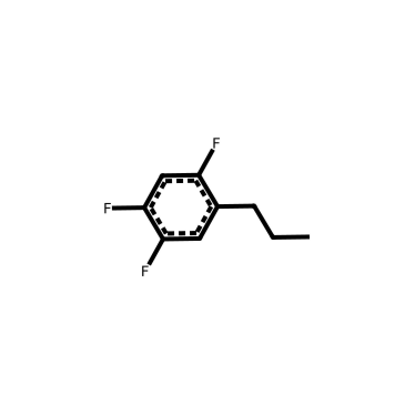 CCCc1cc(F)c(F)cc1F